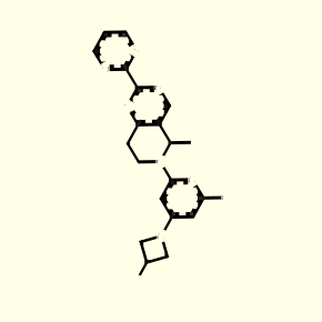 CC1c2cnc(-c3ncccn3)nc2CCN1c1cc(N2CC(C(=O)O)C2)cc(F)n1